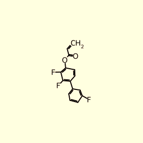 C=CC(=O)Oc1ccc(-c2cccc(F)c2)c(F)c1F